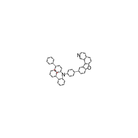 c1ccc(-c2ccc(N(c3ccc(-c4ccc5oc6ccc7ccncc7c6c5c4)cc3)c3ccccc3-c3ccccc3)cc2)cc1